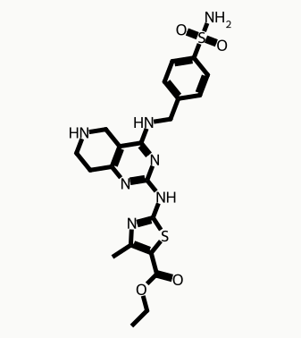 CCOC(=O)c1sc(Nc2nc3c(c(NCc4ccc(S(N)(=O)=O)cc4)n2)CNCC3)nc1C